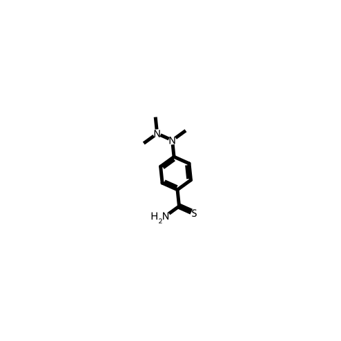 CN(C)N(C)c1ccc(C(N)=S)cc1